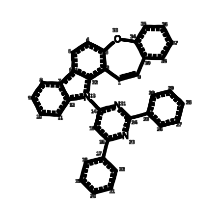 C1=Cc2c(ccc3c4ccccc4n(-c4cc(-c5ccccc5)nc(-c5ccccc5)n4)c23)Oc2ccccc21